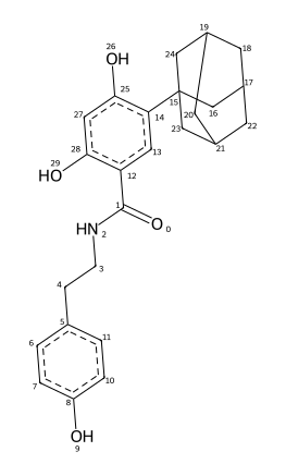 O=C(NCCc1ccc(O)cc1)c1cc(C23CC4CC(CC(C4)C2)C3)c(O)cc1O